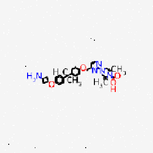 C[C@@H]1CN(c2nccc(COc3ccc(C(C)(C)c4ccc(O[C@H]5C[C@@H](N)C5)cc4)cc3)n2)C[C@H](C)N1C(=O)O